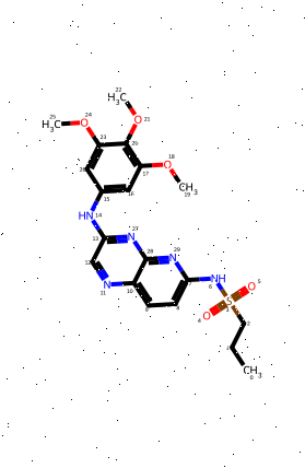 CCCS(=O)(=O)Nc1ccc2ncc(Nc3cc(OC)c(OC)c(OC)c3)nc2n1